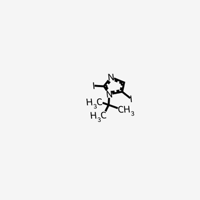 CC(C)(C)n1c(I)cnc1I